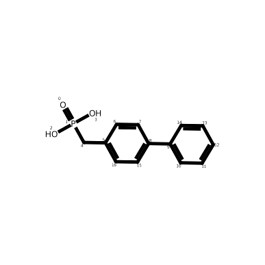 O=P(O)(O)Cc1ccc(-c2ccccc2)cc1